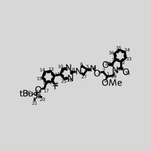 COC(CON=C1CN(c2ncc(-c3cccc(CO[Si](C)(C)C(C)(C)C)c3F)cn2)C1)CN1C(=O)c2ccccc2C1=O